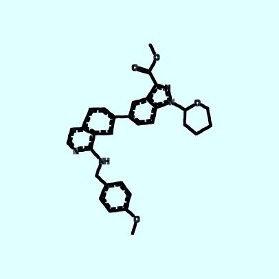 COC(=O)c1nn(C2CCCCO2)c2ccc(-c3ccc4ccnc(NCc5ccc(OC)cc5)c4c3)cc12